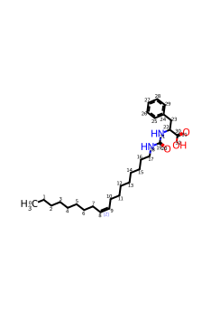 CCCCCCCC/C=C\CCCCCCCCNC(=O)NC(Cc1ccccc1)C(=O)O